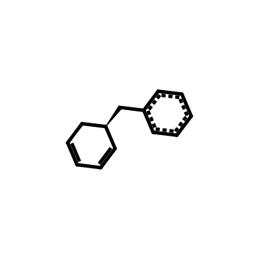 C1=CC[C@@H](Cc2ccccc2)C=C1